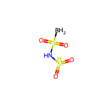 BS(=O)(=O)N[SH](=O)=O